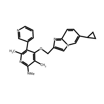 CNc1nc(C)c(-c2cccnc2)c(OCc2cn3cc(C4CC4)ccc3n2)c1C